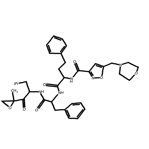 CC(C)CC(NC(=O)C(Cc1ccccc1)NC(=O)C(CCc1ccccc1)NC(=O)c1cc(CN2CCOCC2)on1)C(=O)C1(C)CO1